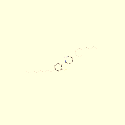 CCCCCCCCc1ccc(-c2ccc([C@H]3CC[C@H](CCCC)CC3)cn2)c(F)c1